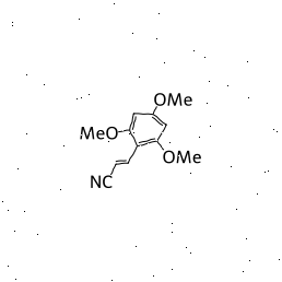 COc1cc(OC)c(C=CC#N)c(OC)c1